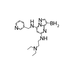 Bc1cnn2c(NCc3cccnc3)cc(NCCN(CC)CC)nc12